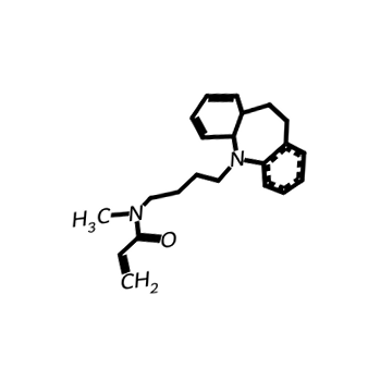 C=CC(=O)N(C)CCCCN1c2ccccc2CCC2C=CC=CC21